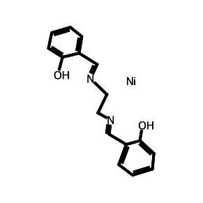 Oc1ccccc1C=NCCN=Cc1ccccc1O.[Ni]